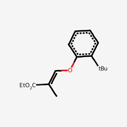 CCOC(=O)C(C)=COc1ccccc1C(C)(C)C